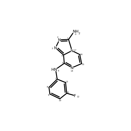 Nc1nnc2c(Nc3cccc(F)c3)nccn12